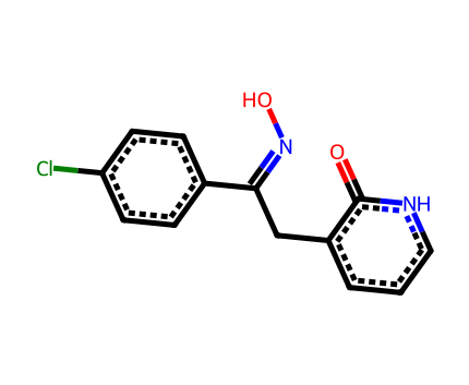 O=c1[nH]cccc1CC(=NO)c1ccc(Cl)cc1